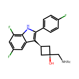 CC(=O)NC[C@]1(O)C[C@@H](c2c(-c3ccc(F)cc3)[nH]c3c(F)cc(F)cc32)C1